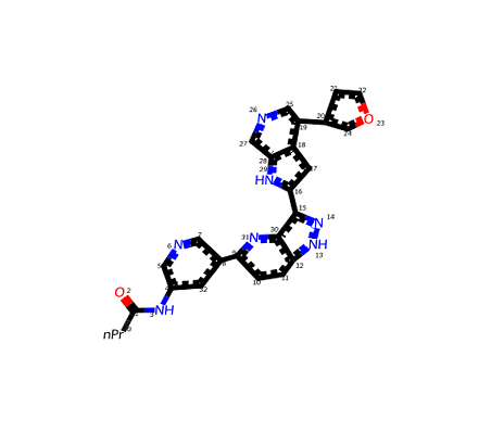 CCCC(=O)Nc1cncc(-c2ccc3[nH]nc(-c4cc5c(-c6ccoc6)cncc5[nH]4)c3n2)c1